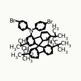 CC(C)(C)C1=CC2C(C=C1)c1c(N(c3ccc(Br)cc3)c3ccc(Br)cc3)cc(C(C)(C)C)cc1C21c2cc(C(C)(C)C)ccc2-c2ccc(C(C)(C)C)cc21